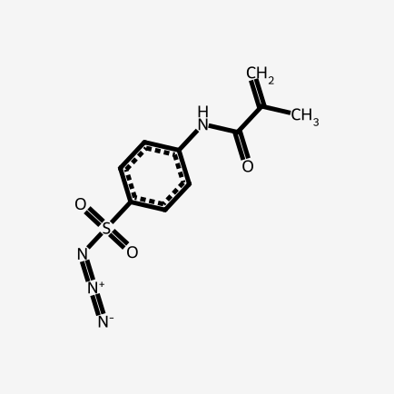 C=C(C)C(=O)Nc1ccc(S(=O)(=O)N=[N+]=[N-])cc1